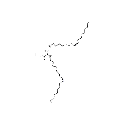 CCCCCCCC/C=C\CCCCCCCC(=O)OC(=O)C(C(=O)CCCCCCC/C=C\CCCCCCCC)C(C)O